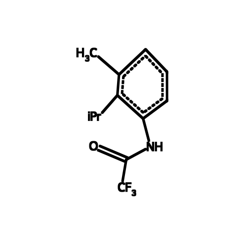 Cc1cccc(NC(=O)C(F)(F)F)c1C(C)C